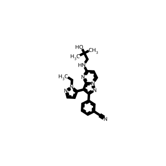 CCn1nccc1-c1c(-c2cccc(C#N)c2)nn2ccc(NCC(C)(C)O)nc12